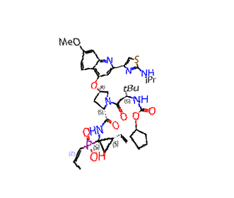 C=C[C@@H]1C[C@]1(NC(=O)[C@@H]1C[C@@H](Oc2cc(-c3csc(NC(C)C)n3)nc3cc(OC)ccc23)CN1C(=O)[C@@H](NC(=O)OC1CCCC1)C(C)(C)C)P(=O)(O)/C=C\C